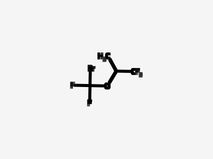 CC(OC(F)(F)Br)C(F)(F)F